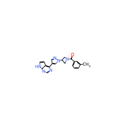 Cc1cccc(C(=O)N2C[C](n3cc(-c4ncnc5[nH]ccc45)cn3)C2)c1